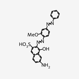 COc1cc(N=Nc2ccccc2)ccc1N=Nc1c(S(=O)(=O)O)cc2ccc(N)cc2c1O